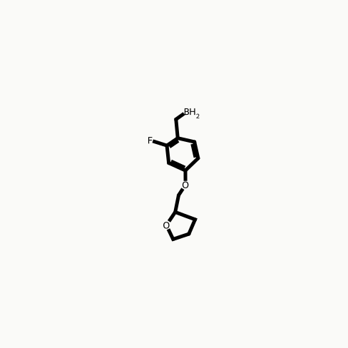 BCc1ccc(OCC2CCCO2)cc1F